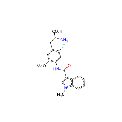 COc1cc(C[C@H](N)C(=O)O)c(F)cc1NC(=O)c1cn(C)c2ccccc12